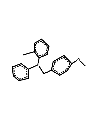 COc1ccc(CP(c2ccccc2)c2ccccc2C)cc1